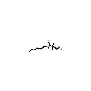 CCCCCCOC(=O)C(C)(C)[SiH2]F